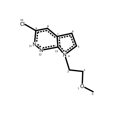 COCCn1ccc2cc(Cl)nnc21